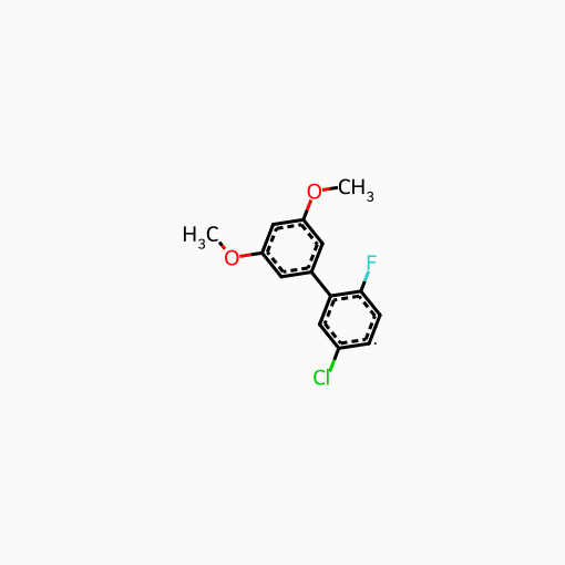 COc1cc(OC)cc(-c2cc(Cl)[c]cc2F)c1